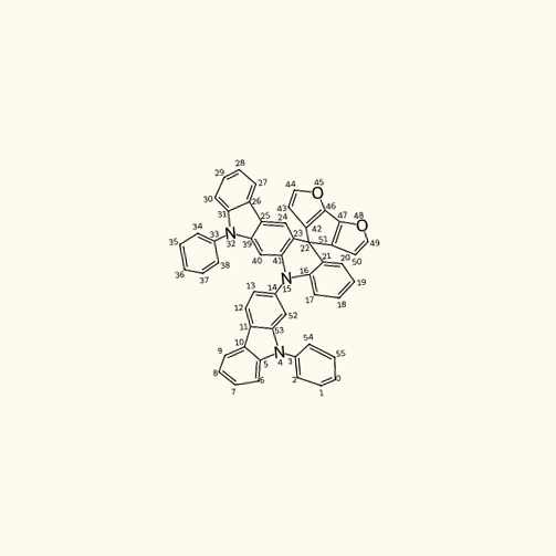 c1ccc(-n2c3ccccc3c3ccc(N4c5ccccc5C5(c6cc7c8ccccc8n(-c8ccccc8)c7cc64)c4ccoc4-c4occc45)cc32)cc1